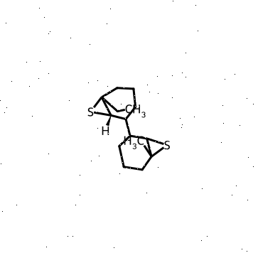 CCC12CCCC(C3CCCC4(C)SC34)[C@@H]1S2